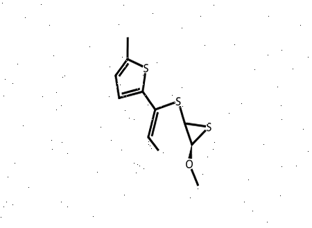 C/C=C(\SC1S[C@H]1OC)c1ccc(C)s1